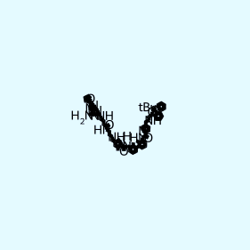 Cc1cc(CNCCNC(=O)CCCNc2nc(N)n3nc(-c4ccco4)nc3n2)cnc1C(=O)Nc1cccc(-c2cccc(NC(=O)c3ccc(CNCCO[Si](c4ccccc4)(c4ccccc4)C(C)(C)C)cn3)c2C)c1C